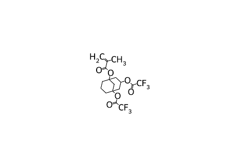 C=C(C)C(=O)OC12CCCC(OC(=O)C(F)(F)F)(CC(OC(=O)C(F)(F)F)C1)C2